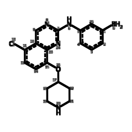 Bc1cccc(Nc2ncc3c(Cl)ccc(OC4CCNCC4)c3n2)c1